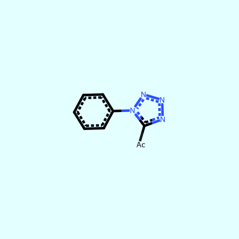 CC(=O)c1nnnn1-c1ccccc1